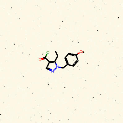 CCc1c(C(=O)Cl)cnn1Cc1ccc(OC)cc1